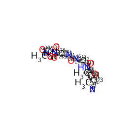 Cc1cc(O[C@H]2C[C@H](NC(=O)c3ccc4c(c3)CN(C(=O)CN3Cc5cc6c(cc5C3)C(=O)N(C3CCC(=O)N(C)C3=O)C6=O)C4)C2(C)C)ccc1C#N